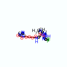 CC(C)N(C)[C@@H]1CC[C@H](N2CC[C@H](Nc3ncnc4ccc(C(F)(F)F)cc34)C2=O)[C@H](NC(=O)CC2CCC(NC(=O)CCOCCOCCOCCNC(=O)[C@H]3CC(=O)N(C)[C@@H]3c3cccnc3)CC2)C1